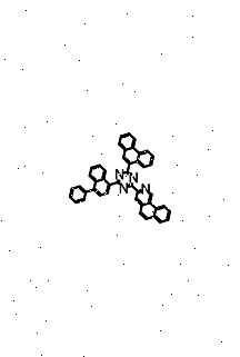 c1ccc(-c2ccc(-c3nc(-c4cc5ccc6ccccc6c5cn4)nc(-c4cc5ccccc5c5ccccc45)n3)c3ccccc23)cc1